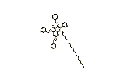 CCCCCCCCCCCCCCCCC=Cn1c(-c2ccccc2)c(OCc2ccccc2)c(=O)c2c(OCc3ccccc3)cc(OCc3ccccc3)cc21